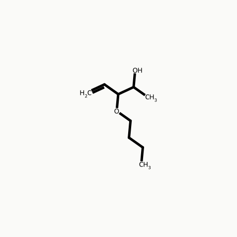 C=CC(OCCCC)C(C)O